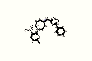 Cc1ccc([N+](=O)[O-])c(N2CCC/C(=C/c3noc(-c4ccccc4)n3)CC2)n1